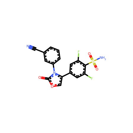 N#Cc1cccc(-n2c(-c3cc(F)c(S(N)(=O)=O)c(F)c3)coc2=O)c1